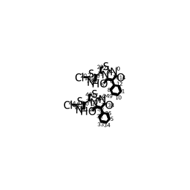 Cn1c2[n+](c(O)c(-c3ccccc3)c1=O)[C@@H](c1cnc(Cl)s1)CS2.Cn1c2[n+](c(O)c(-c3ccccc3)c1=O)[C@@H](c1cnc(Cl)s1)CS2